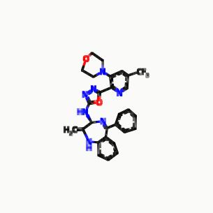 C=C1Nc2ccccc2C(c2ccccc2)=N[C@@H]1Nc1nnc(-c2ncc(C(F)(F)F)cc2N2CCOCC2)o1